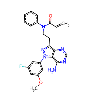 C=CC(=O)N(CCc1nn(-c2cc(F)cc(OC)c2)c2c(N)ncnc12)c1ccccc1